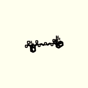 CC(=O)C1C2CC3CC(C2)C(C(=O)OCCOCCOC(O)C2C4CC5CC(C4)C(C(C)=O)C2C5)C1C3